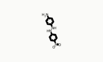 Nc1ccc(NNc2ccc([N+](=O)[O-])cc2)cc1